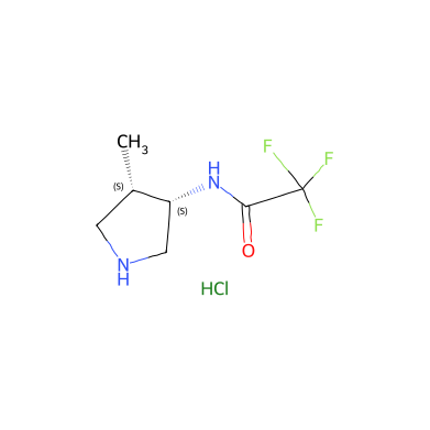 C[C@H]1CNC[C@H]1NC(=O)C(F)(F)F.Cl